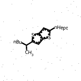 C[CH]CCC(C)c1cc2sc(CCCCCCC)cc2s1